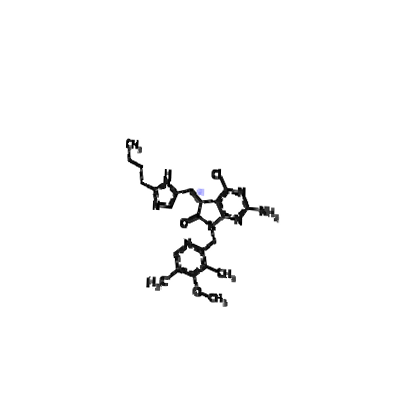 CCCCc1ncc(/C=C2\C(=O)N(Cc3ncc(C)c(OC)c3C)c3nc(N)nc(Cl)c32)[nH]1